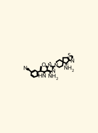 C=C(C(=N)c1c(N)nc(N2CCC3(CC2)Cc2scnc2[C@H]3N)n(C)c1=O)c1cccc(C#N)c1